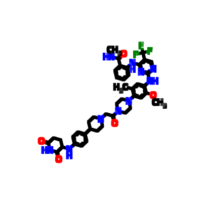 CNC(=O)c1ccccc1Nc1nc(Nc2cc(C)c(N3CCN(C(=O)CN4CCC(c5ccc(NC6CCC(=O)NC6=O)cc5)CC4)CC3)cc2OC)ncc1C(F)(F)F